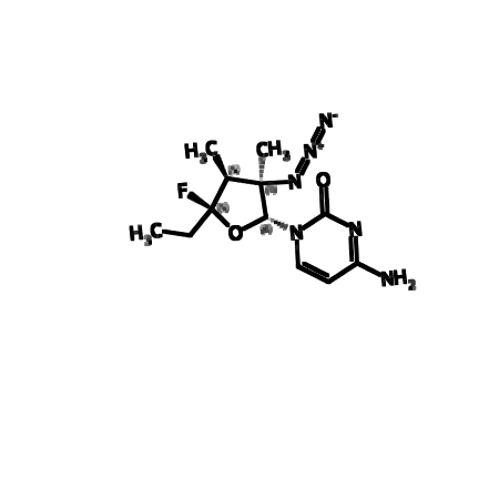 CC[C@@]1(F)O[C@@H](n2ccc(N)nc2=O)[C@](C)(N=[N+]=[N-])[C@@H]1C